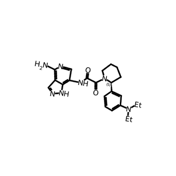 CCN(CC)c1cccc([C@@H]2CCCCN2C(=O)C(=O)Nc2cnc(N)c3cn[nH]c23)c1